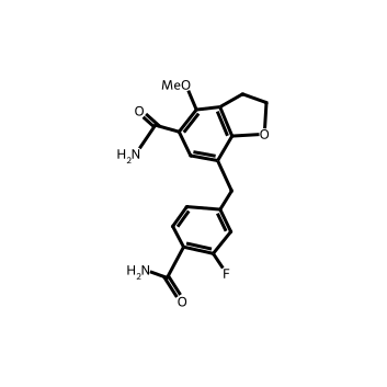 COc1c(C(N)=O)cc(Cc2ccc(C(N)=O)c(F)c2)c2c1CCO2